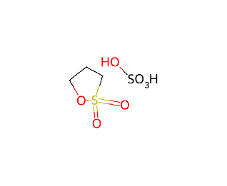 O=S(=O)(O)O.O=S1(=O)CCCO1